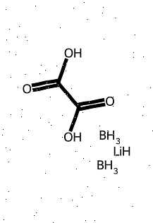 B.B.O=C(O)C(=O)O.[LiH]